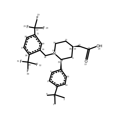 CC(C)(C)c1ccc([C@@H]2C[C@H](CC(=O)O)CCN2Cc2cc(C(F)(F)F)ccc2C(F)(F)F)cc1